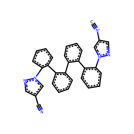 [C-]#[N+]c1cnn(-c2ccccc2-c2ccccc2-c2ccccc2-c2ccccc2-n2cc(C#N)cn2)c1